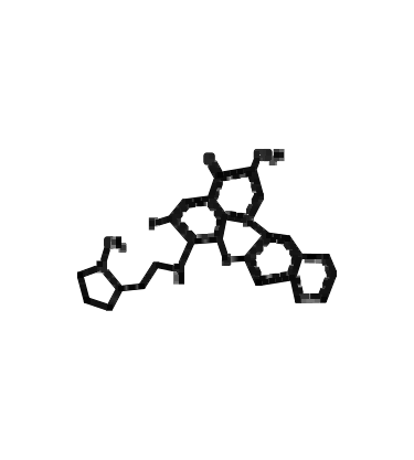 CN1CCCC1CCNc1c(F)cc2c(=O)c(C(=O)O)cn3c2c1Sc1cc2ccccc2cc1-3